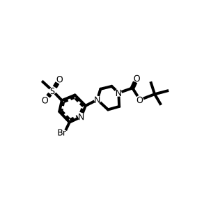 CC(C)(C)OC(=O)N1CCN(c2cc(S(C)(=O)=O)cc(Br)n2)CC1